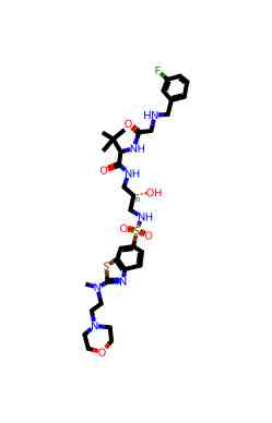 CN(CCN1CCOCC1)c1nc2ccc(S(=O)(=O)NC[C@@H](O)CNC(=O)C(NC(=O)CNCc3cccc(F)c3)C(C)(C)C)cc2s1